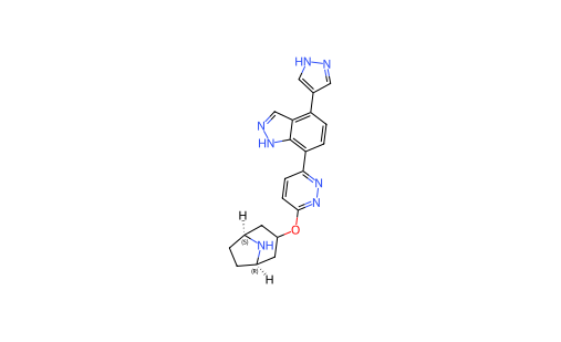 c1n[nH]cc1-c1ccc(-c2ccc(OC3C[C@H]4CC[C@@H](C3)N4)nn2)c2[nH]ncc12